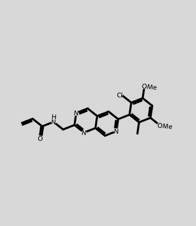 C=CC(=O)NCc1ncc2cc(-c3c(C)c(OC)cc(OC)c3Cl)ncc2n1